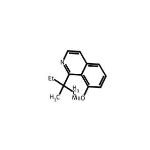 CCC(C)(C)c1nccc2cccc(OC)c12